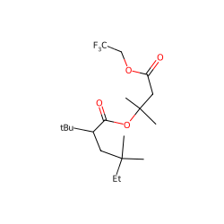 CCC(C)(C)CC(C(=O)OC(C)(C)CC(=O)OCC(F)(F)F)C(C)(C)C